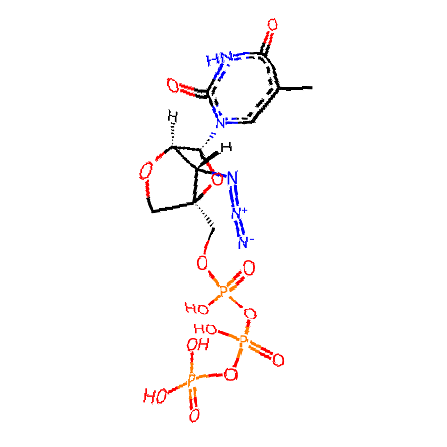 Cc1cn([C@@H]2O[C@@]3(COP(=O)(O)OP(=O)(O)OP(=O)(O)O)CO[C@@H]2[C@@H]3N=[N+]=[N-])c(=O)[nH]c1=O